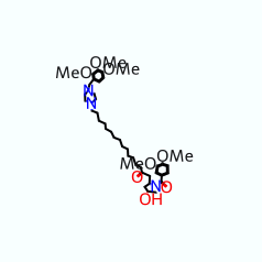 COc1ccc(C(=O)N2CC(O)CC2CC(=O)CCCCCCCCCCCCCCN2CCN(Cc3ccc(OC)c(OC)c3OC)CC2)cc1OC